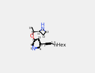 CCCCCCC#Cc1cncc(OC(C)[C@@H]2CCN2)c1